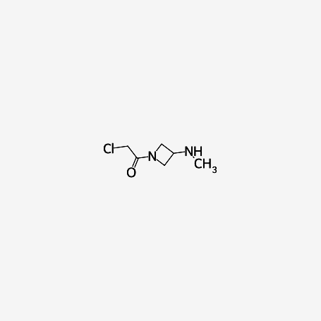 CNC1CN(C(=O)CCl)C1